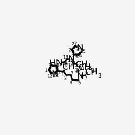 C=C(CC/C=C\N(CC)CC)c1ncccc1NCCN(CC)c1ccncc1